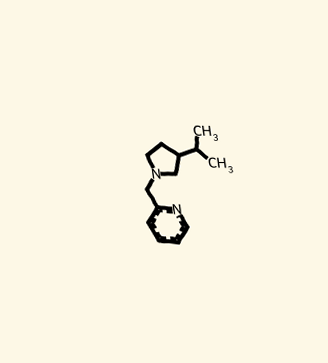 CC(C)C1CCN(Cc2ccccn2)C1